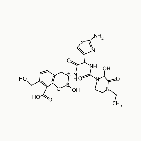 CCN1CCN(C(=O)NC(C(=O)N[C@H]2Cc3ccc(CO)c(C(=O)O)c3OB2O)c2csc(N)n2)C(O)C1=O